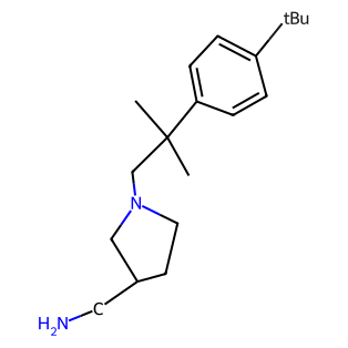 CC(C)(C)c1ccc(C(C)(C)CN2CCC(CN)C2)cc1